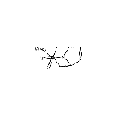 COC(=O)N1C2C=CC1CC(=O)C2